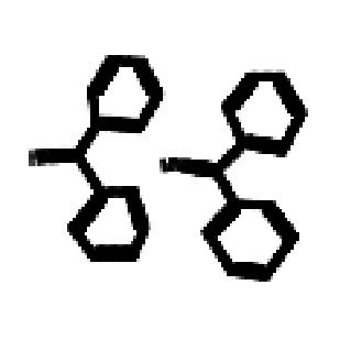 N=C(c1ccccc1)c1ccccc1.N=C(c1ccccc1)c1ccccc1